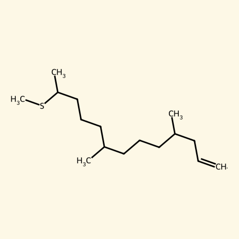 [CH]=CCC(C)CCCC(C)CCCC(C)SC